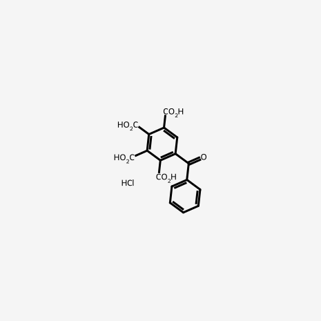 Cl.O=C(O)c1cc(C(=O)c2ccccc2)c(C(=O)O)c(C(=O)O)c1C(=O)O